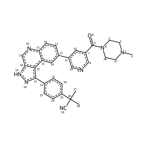 CN1CCN(C(=O)c2cncc(-c3ccc4ncc5[nH]nc(-c6ccc(C(C)(C)C#N)cc6)c5c4c3)c2)CC1